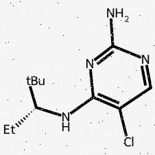 CC[C@@H](Nc1nc(N)ncc1Cl)C(C)(C)C